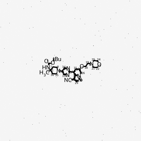 CC1(NC(=O)OC(C)(C)C)CCN(c2cnc(-c3cc(OCCN4CCOCC4)cn4ncc(C#N)c34)nc2)CC1